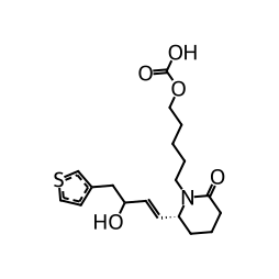 O=C(O)OCCCCCN1C(=O)CCC[C@@H]1/C=C/C(O)Cc1ccsc1